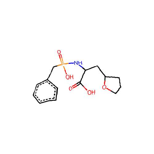 O=C(O)C(CC1CCCO1)NP(=O)(O)Cc1ccccc1